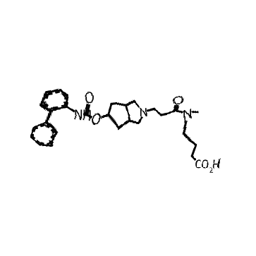 CN(CCCC(=O)O)C(=O)CCN1CC2CC(OC(=O)Nc3ccccc3-c3ccccc3)CC2C1